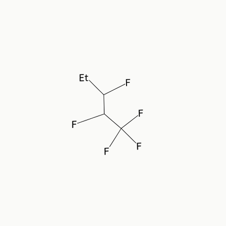 [CH2]CC(F)C(F)C(F)(F)F